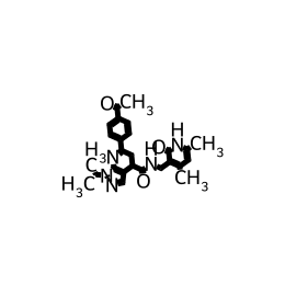 CC(=O)c1ccc(C2=Nc3c(cnn3C(C)C)C(C(=O)NCc3c(C)cc(C)[nH]c3=O)C2)cc1